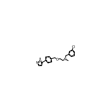 CN(CCOCc1ccc(-c2ccnn2C)cc1)Cc1cccc(Cl)c1